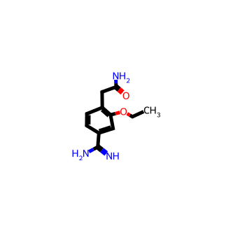 CCOc1cc(C(=N)N)ccc1CC(N)=O